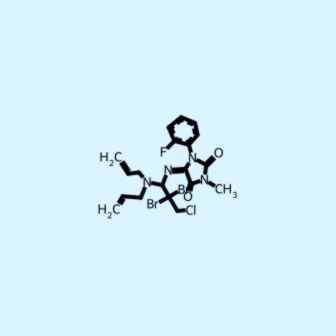 C=CCN(CC=C)C(N=C1C(=O)N(C)C(=O)N1c1ccccc1F)C(Br)(Br)CCl